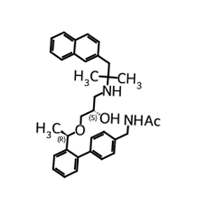 CC(=O)NCc1ccc(-c2ccccc2[C@@H](C)OC[C@@H](O)CNC(C)(C)Cc2ccc3ccccc3c2)cc1